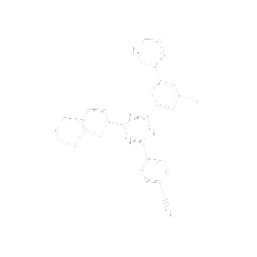 N#Cc1ccc(-c2nc(-c3cc(Br)cc(-c4cccnc4)c3)nc(-c3ccc4ccccc4c3)n2)cc1